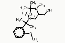 COc1ccccc1C(C)(C)N(C)C[C@H](CO)N(C)C(C)(C)C